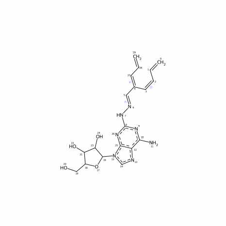 C=C\C=C/C(/C=N/Nc1nc(N)c2ncn(C3OC(CO)C(O)C3O)c2n1)=C\C=C